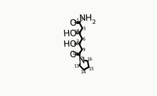 NC(=O)C[C@H](O)C[C@@H](O)CC(=O)N1CCCC1